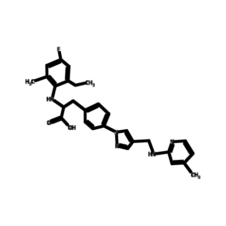 CCc1cc(F)cc(C)c1NC(Cc1ccc(-n2cc(CNc3cc(C)ccn3)cn2)cc1)C(=O)O